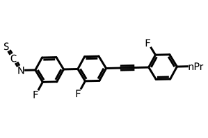 CCCc1ccc(C#Cc2ccc(-c3ccc(N=C=S)c(F)c3)c(F)c2)c(F)c1